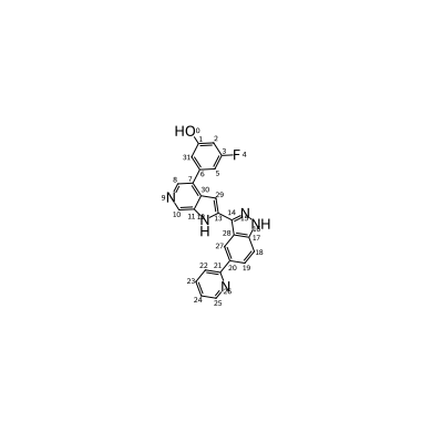 Oc1cc(F)cc(-c2cncc3[nH]c(-c4n[nH]c5ccc(-c6ccccn6)cc45)cc23)c1